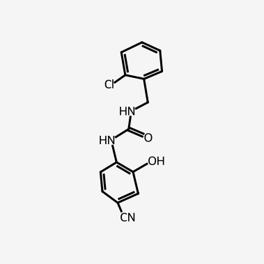 N#Cc1ccc(NC(=O)NCc2ccccc2Cl)c(O)c1